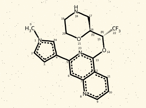 Cn1ccc(-c2cc3ncccc3c(O[C@H]([C@@H]3CNCCO3)C(F)(F)F)n2)c1